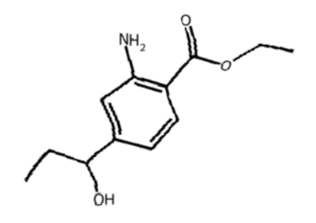 CCOC(=O)c1ccc(C(O)CC)cc1N